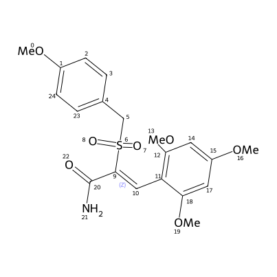 COc1ccc(CS(=O)(=O)/C(=C\c2c(OC)cc(OC)cc2OC)C(N)=O)cc1